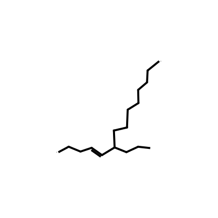 [CH2]CC/C=C/C(CCC)CCCCCCC[CH2]